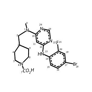 CN(CC1CCN(C(=O)O)CC1)c1cc(Nc2ccc(Br)cc2F)ncn1